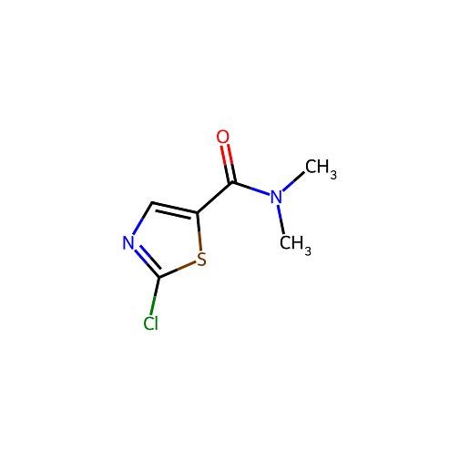 CN(C)C(=O)c1cnc(Cl)s1